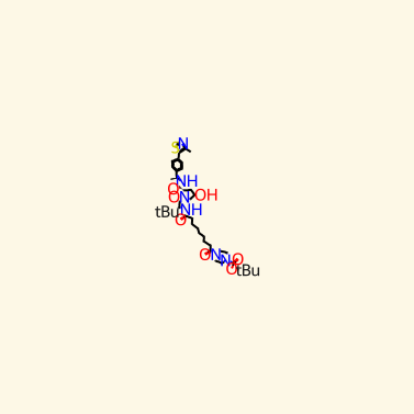 Cc1ncsc1-c1ccc([C@H](C)NC(=O)[C@@H]2C[C@@H](O)CN2C(=O)C(NC(=O)CCCCCCCC(=O)N2CCN(C(=O)OC(C)(C)C)CC2)C(C)(C)C)cc1